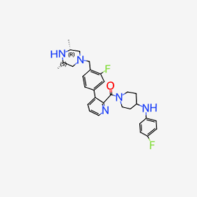 C[C@@H]1CN(Cc2ccc(-c3cccnc3C(=O)N3CCC(Nc4ccc(F)cc4)CC3)cc2F)C[C@H](C)N1